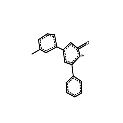 Cc1cccc(-c2cc(-c3ccccc3)[nH]c(=O)c2)c1